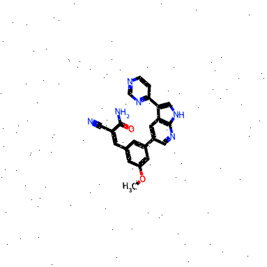 COc1cc(C=C(C#N)C(N)=O)cc(-c2cnc3[nH]cc(-c4ccncn4)c3c2)c1